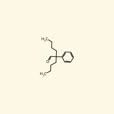 CCCCC(C=O)(CCCC)c1ccccc1